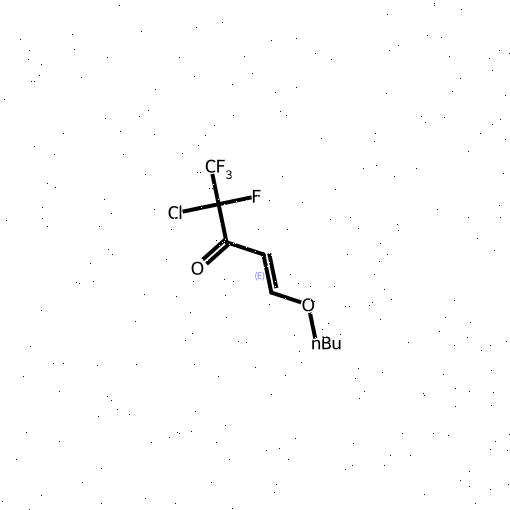 CCCCO/C=C/C(=O)C(F)(Cl)C(F)(F)F